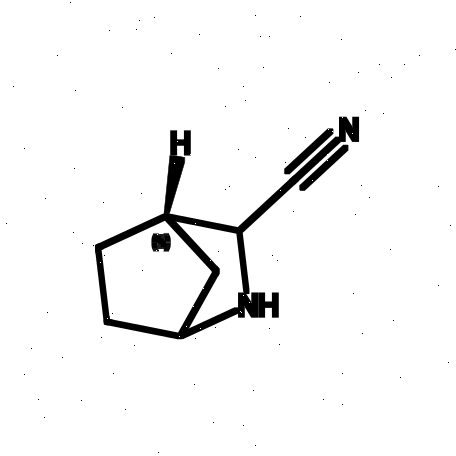 N#CC1NC2CC[C@H]1C2